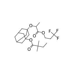 CCC(C)(C)C(=O)OC12CC3CC(C1)CC(OC(C)C(=O)OCCC(F)(F)F)(C3)C2